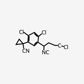 [C-]#[N+]C(CCCCl)c1cc(C2(C#N)CC2)c(Cl)cc1Cl